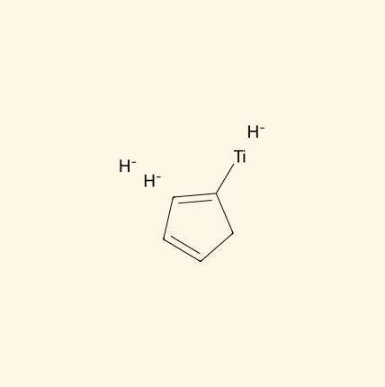 [H-].[H-].[H-].[Ti][C]1=CC=CC1